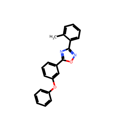 Cc1ccccc1-c1noc(-c2cccc(Oc3ccccc3)c2)n1